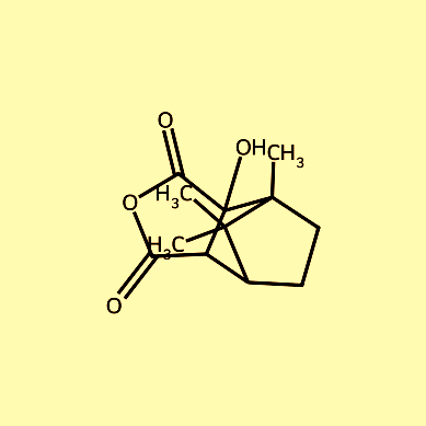 CC1(C)C2CCC1(C)C1(O)C(=O)OC(=O)C21